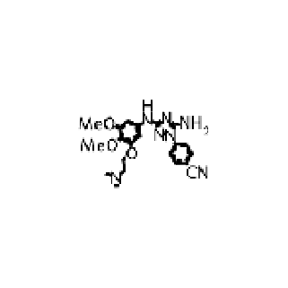 COc1cc(Nc2nc(N)n(-c3ccc(C#N)cc3)n2)cc(OCCN(C)C)c1OC